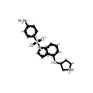 Nc1ccc(S(=O)(=O)n2ccc3c(OC4CCNC4)cccc32)cc1